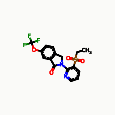 CCS(=O)(=O)c1cccnc1N1Cc2ccc(OC(F)(F)F)cc2C1=O